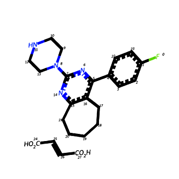 Fc1ccc(-c2nc(N3CCNCC3)nc3c2CCCCC3)cc1.O=C(O)C=CC(=O)O